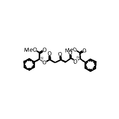 COC(=O)[C@@H](OC(=O)CC(=O)CC(=O)O[C@H](C(=O)OC)c1ccccc1)c1ccccc1